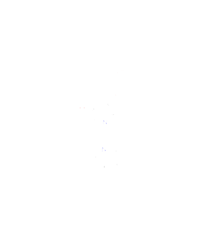 OCCOCCN(CCO)CCN1CCCC1